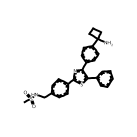 CS(=O)(=O)NCc1ccc(-c2nc(-c3ccc(C4(N)CCC4)cc3)c(-c3ccccc3)s2)cc1